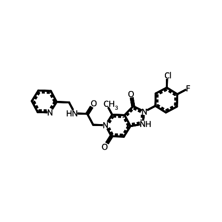 Cc1c2c(=O)n(-c3ccc(F)c(Cl)c3)[nH]c2cc(=O)n1CC(=O)NCc1ccccn1